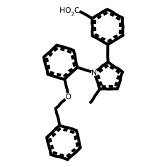 Cc1ccc(-c2cccc(C(=O)O)c2)n1-c1ccccc1OCc1ccccc1